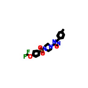 Cc1ccc(-c2noc(N3CCN(S(=O)(=O)c4ccc(OC(F)F)cc4)CC3)n2)cc1